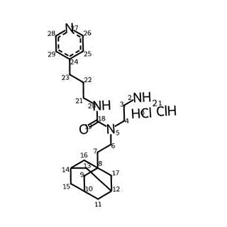 Cl.Cl.NCCN(CCC12CC3CC(CC(C3)C1)C2)C(=O)NCCCc1ccncc1